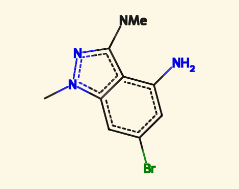 CNc1nn(C)c2cc(Br)cc(N)c12